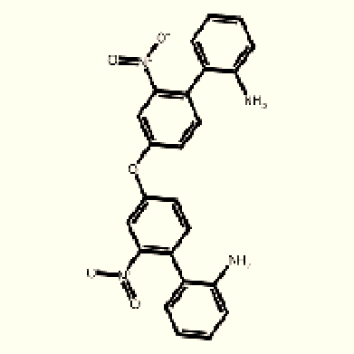 Nc1ccccc1-c1ccc(Oc2ccc(-c3ccccc3N)c([N+](=O)[O-])c2)cc1[N+](=O)[O-]